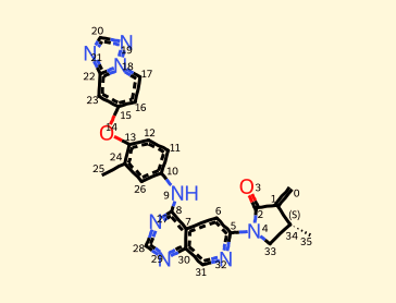 C=C1C(=O)N(c2cc3c(Nc4ccc(Oc5ccn6ncnc6c5)c(C)c4)ncnc3cn2)C[C@H]1C